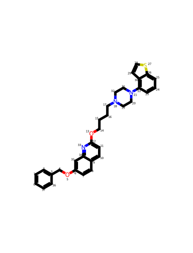 c1ccc(COc2ccc3ccc(OCCCCN4CCN(c5cccc6sccc56)CC4)nc3c2)cc1